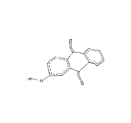 CCCOc1ccc2c(c1)C(=O)c1ccccc1C2=O